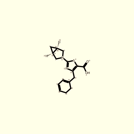 O=C(O)c1sc(N2C[C@H]3C[C@H]3C2)nc1CC1=CC=CCC1